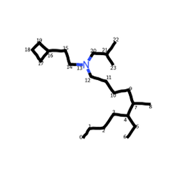 CCCCC(CC)C(C)CCCCN(CCC1CCC1)CC(C)C